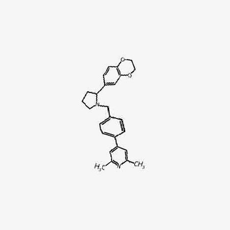 Cc1cc(-c2ccc(CN3CCCC3c3ccc4c(c3)OCCO4)cc2)cc(C)n1